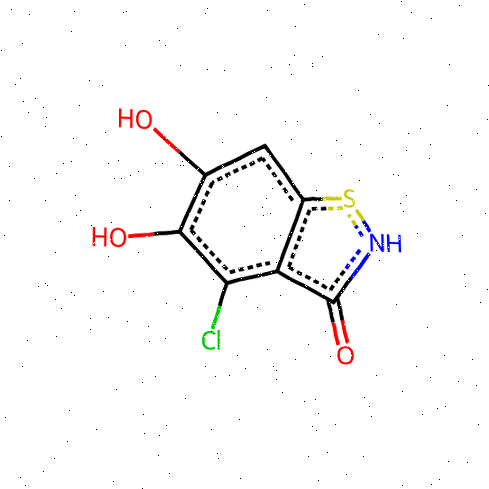 O=c1[nH]sc2cc(O)c(O)c(Cl)c12